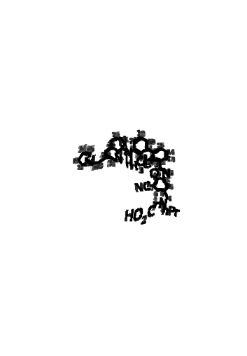 CCCN(CC(=O)O)Cc1cc(C#N)c2oc(-c3cccc(-c4cccc(Nc5nccc6cc(CN7CCCC7)cnc56)c4C)c3C)nc2c1